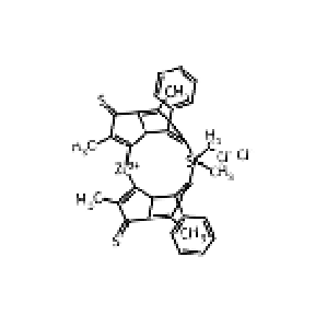 CC1=[C]2[Zr+2][C]3=C(C)C(=S)C4=C(C)C(=C(c5ccccc5)C34)[Si](C)(C)C3=C(c4ccccc4)C2C(=C3C)C1=S.[Cl-].[Cl-]